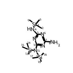 C[Si](C)(C)Nc1nc(N)nc(N([Si](C)(C)C)[Si](C)(C)C)n1